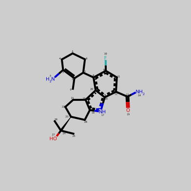 CC1=C(N)CCCC1c1c(F)cc(C(N)=O)c2[nH]c3c(c12)CC[C@H](C(C)(C)O)C3